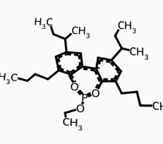 CCCCc1cc(C(C)CC)cc2c1op(OCC)oc1c(CCCC)cc(C(C)CC)cc12